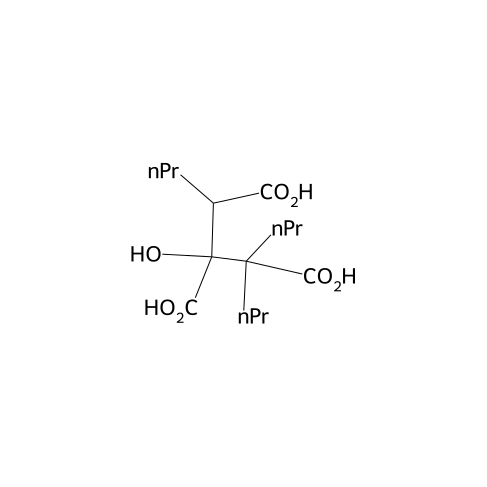 CCCC(C(=O)O)C(O)(C(=O)O)C(CCC)(CCC)C(=O)O